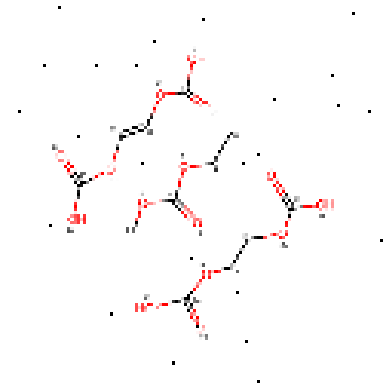 CCOC(=O)OC.O=C(O)O/C=C/OC(=O)O.O=C(O)OCCOC(=O)O